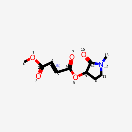 COC(=O)/C=C/C(=O)OC1CCN(C)C1=O